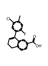 Cc1cc(F)c(C2=CCCc3ccc(C(=O)O)cc32)cc1Cl